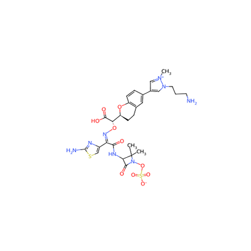 C[n+]1cc(-c2ccc3c(c2)CC[C@@H]([C@H](O/N=C(\C(=O)NC2C(=O)N(OS(=O)(=O)[O-])C2(C)C)c2csc(N)n2)C(=O)O)O3)cn1CCCN